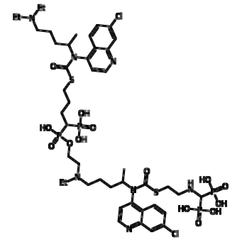 CCN(CC)CCCC(C)N(C(=O)SCCCC(P(=O)(O)O)P(=O)(O)OCCN(CC)CCCC(C)N(C(=O)SCCNC(P(=O)(O)O)P(=O)(O)O)c1ccnc2cc(Cl)ccc12)c1ccnc2cc(Cl)ccc12